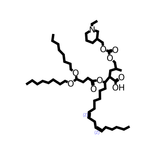 CCCCC/C=C\C/C=C\CCCCCC(OC(=O)CCC(OCCCCCCCC)OCCCCCCCC)C(CC(C)COC(=O)OCC1CCCN(CC)C1)C(=O)O